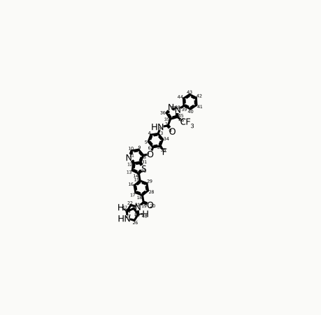 O=C(Nc1ccc(Oc2ccnc3cc(-c4ccc(C(=O)N5C[C@@H]6C[C@H]5CN6)cc4)sc23)c(F)c1)c1cnn(-c2ccccc2)c1C(F)(F)F